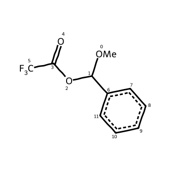 COC(OC(=O)C(F)(F)F)c1ccccc1